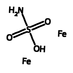 NS(=O)(=O)O.[Fe].[Fe]